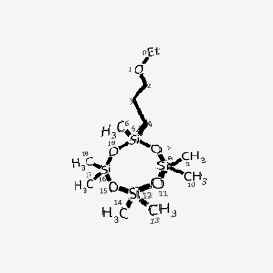 CCOCCC[Si]1(C)O[Si](C)(C)O[Si](C)(C)O[Si](C)(C)O1